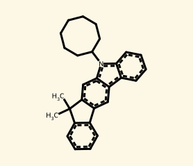 CC1(C)c2ccccc2-c2cc3c4ccccc4n(C4CCCCCCC4)c3cc21